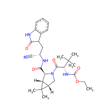 CCOC(=O)N[C@H](C(=O)N1C[C@H]2[C@@H]([C@H]1C(=O)N[C@H](C#N)CC1C(=O)Nc3ccccc31)C2(C)C)C(C)(C)C